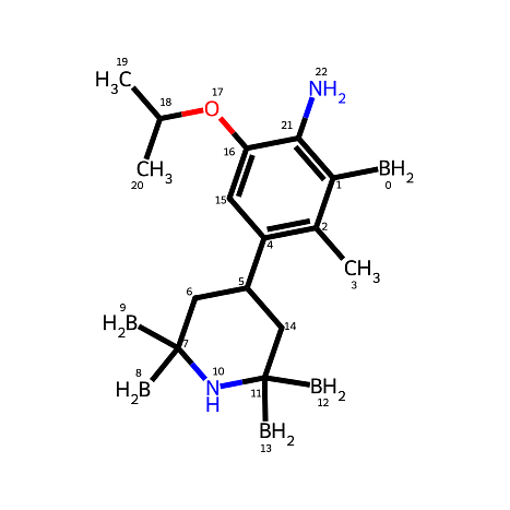 Bc1c(C)c(C2CC(B)(B)NC(B)(B)C2)cc(OC(C)C)c1N